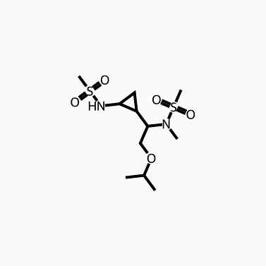 CC(C)OCC(C1CC1NS(C)(=O)=O)N(C)S(C)(=O)=O